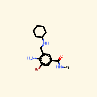 CCNC(=O)c1cc(Br)c(N)c(CNC2CCCCC2)c1